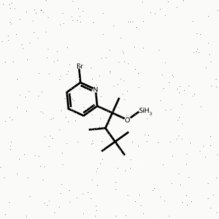 CC(C(C)(C)C)C(C)(O[SiH3])c1cccc(Br)n1